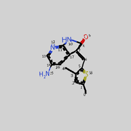 Cc1cc(C)c(C=C2C(=O)Nc3ncc(N)cc32)s1